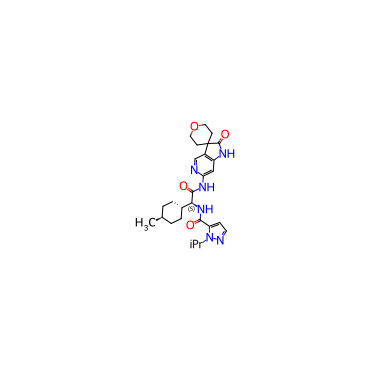 CC(C)n1nccc1C(=O)N[C@H](C(=O)Nc1cc2c(cn1)C1(CCOCC1)C(=O)N2)[C@H]1CC[C@H](C)CC1